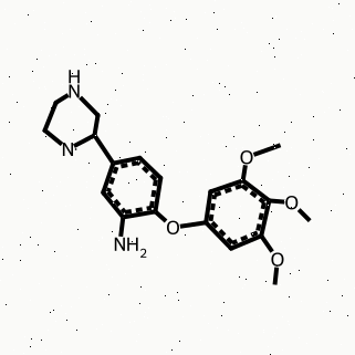 COc1cc(Oc2ccc(C3CNCC[N]3)cc2N)cc(OC)c1OC